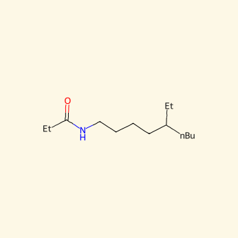 CCCCC(CC)CCCCNC(=O)CC